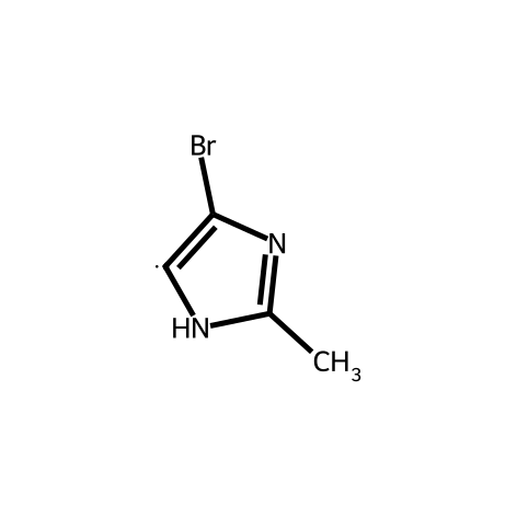 Cc1nc(Br)[c][nH]1